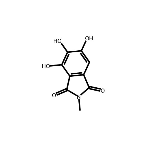 CN1C(=O)c2cc(O)c(O)c(O)c2C1=O